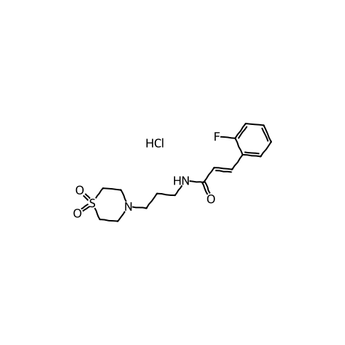 Cl.O=C(/C=C/c1ccccc1F)NCCCN1CCS(=O)(=O)CC1